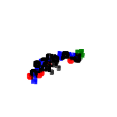 CO[C@@H]1CN(c2cccc3c2n(C)c(=O)n3C2CCC(=O)NC2=O)CC[C@H]1N(C)C[C@H]1CC[C@H](n2cc3cc(NC(=O)c4cccc(C(F)(F)F)n4)ccc3n2)CC1